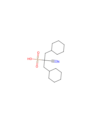 N#CC(CC1CCCCC1)(CC1CCCCC1)S(=O)(=O)O